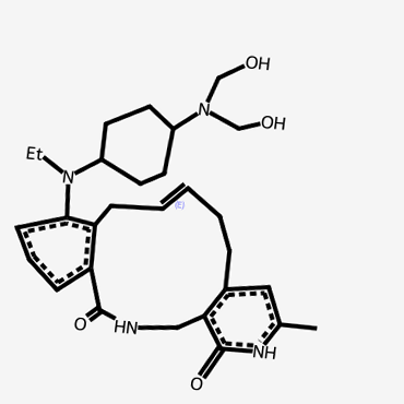 CCN(c1cccc2c1C/C=C/CCc1cc(C)[nH]c(=O)c1CNC2=O)C1CCC(N(CO)CO)CC1